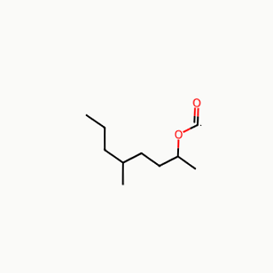 CCCC(C)CCC(C)O[C]=O